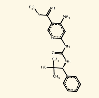 CC(C)(O)[C@@H](NC(=O)Nc1cc(N)c(C(=N)SC(F)(F)F)cn1)c1ccccc1